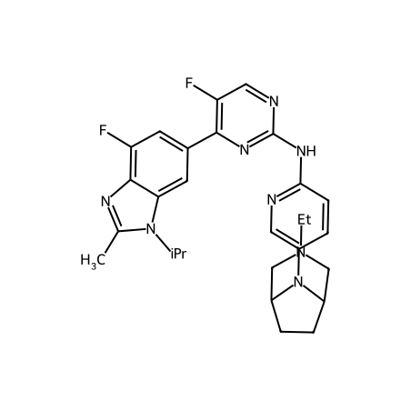 CCN1CC2CCC(C1)N2c1ccc(Nc2ncc(F)c(-c3cc(F)c4nc(C)n(C(C)C)c4c3)n2)nc1